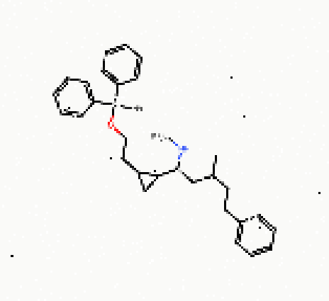 CC(CCc1ccccc1)C[C@H](NC(=O)O)C1CC1CCO[Si](c1ccccc1)(c1ccccc1)C(C)(C)C